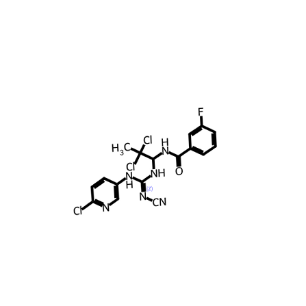 CC(Cl)(Cl)C(NC(=O)c1cccc(F)c1)N/C(=N\C#N)Nc1ccc(Cl)nc1